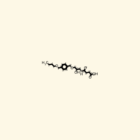 CCCCOCc1ccc(COC[C@H](O)CNC(=O)CCC(=O)O)cc1